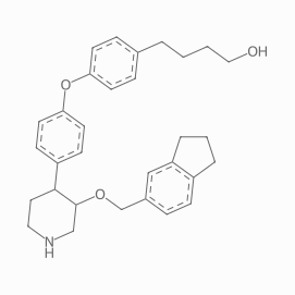 OCCCCc1ccc(Oc2ccc(C3CCNCC3OCc3ccc4c(c3)CCC4)cc2)cc1